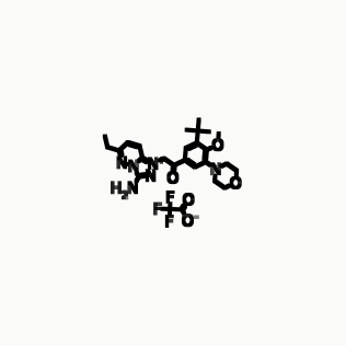 CCc1ccc2n(n1)c(N)n[n+]2CC(=O)c1cc(N2CCOCC2)c(OC)c(C(C)(C)C)c1.O=C([O-])C(F)(F)F